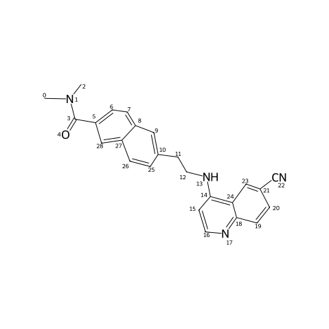 CN(C)C(=O)c1ccc2cc(CCNc3ccnc4ccc(C#N)cc34)ccc2c1